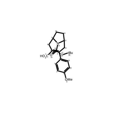 COc1ccc(C2=C(C(=O)O)CC3CCC(C2)N3C(=O)OC(C)(C)C)cc1